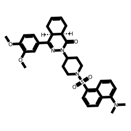 COc1ccc(C2=NN(C3CCN(S(=O)(=O)c4cccc5c(N(C)C)cccc45)CC3)C(=O)[C@@H]3CC=CC[C@H]23)cc1OC